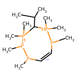 CC(C)C1[PH](C)(C)P(C)/C=C\P(C)P(C)[PH]1(C)C